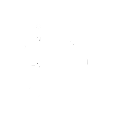 O=[N+]([O-])c1cnc(Cl)cc1NC1CCC1